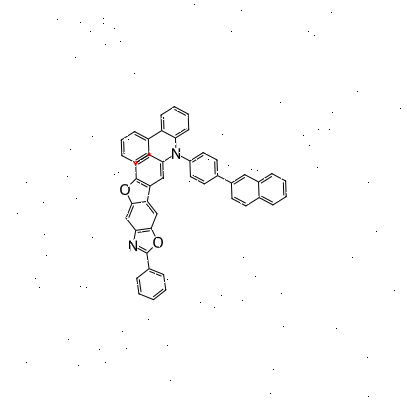 c1ccc(-c2nc3cc4oc5ccc(N(c6ccc(-c7ccc8ccccc8c7)cc6)c6ccccc6-c6ccccc6)cc5c4cc3o2)cc1